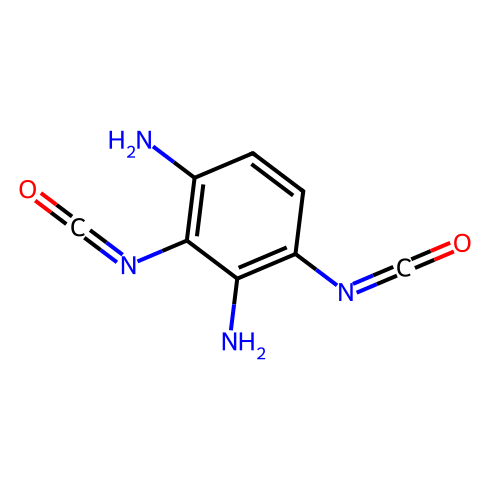 Nc1ccc(N=C=O)c(N)c1N=C=O